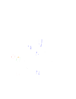 O=C1C(=O)N(C2CCCCC2)NC2N=C(Cl)N1c1ccccc12